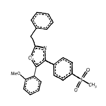 COc1ccccc1-c1oc(Cc2ccccc2)nc1-c1ccc(S(C)(=O)=O)cc1